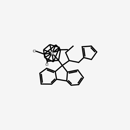 CCC(CC1=CC=CC1)C1([C]23[C]4(C)[CH]5[C]6(Cl)[C]2(Cl)[Zr]54632789[CH]3[CH]2[CH]7[CH]8[CH]39)c2ccccc2-c2ccccc21